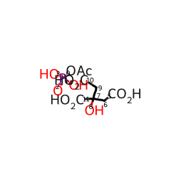 CC(=O)OP(=O)(O)O.O=C(O)CC(O)(CC(=O)O)C(=O)O